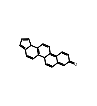 O=C1C=CC2=C3C=CC4=C(C=CC5=CC=CC54)C3C=CC2=C1